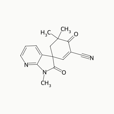 CN1C(=O)C2(C=C(C#N)C(=O)C(C)(C)C2)c2cccnc21